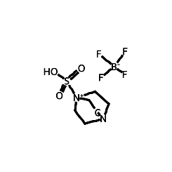 F[B-](F)(F)F.O=S(=O)(O)[N+]12CCN(CC1)CC2